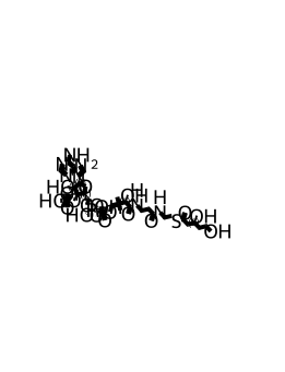 CC(C)(COP(=O)(O)OP(=O)(O)OC[C@H]1O[C@@H](n2cnc3c(N)ncnc32)[C@H](O)[C@@H]1OP(=O)(O)O)[C@@H](O)C(=O)NCCC(=O)NCCSC(=O)C[C@@H](O)CCO